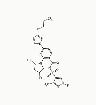 Cc1nn(F)cc1S(=O)(=O)NC(=O)c1ccc(-n2ccc(OCCC(F)(F)F)n2)nc1N1C[C@@H](C)CC1C